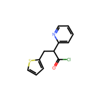 O=C(Cl)C(Cc1cccs1)c1ccccn1